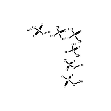 O=P(O)(O)O.O=P(O)(O)O.O=P(O)(O)O.O=S(=O)([O-])OO.O=S(=O)([O-])OO.O=S(=O)([O-])OO.[Al+3]